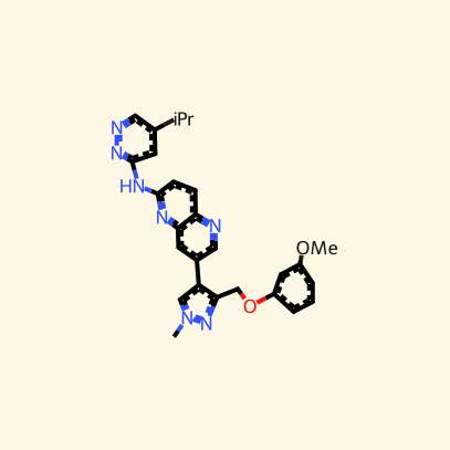 COc1cccc(OCc2nn(C)cc2-c2cnc3ccc(Nc4cc(C(C)C)cnn4)nc3c2)c1